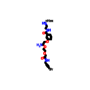 CCCCCCNCCNC(=O)c1cccc(OCC(N)OCCOCC(=O)NCC#CC(C)C)c1